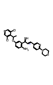 CC(Oc1ccc(N)c(C(=N)/C=C/c2ccc(N3CCSCC3)nc2)c1)c1c(Cl)cncc1Cl